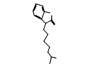 CC(C)CCCCCC1C(=O)Oc2ccccc21